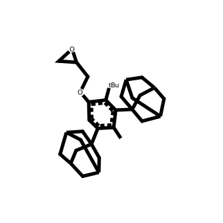 Cc1c(C23CC4CC(CC(C4)C2)C3)cc(OCC2CO2)c(C(C)(C)C)c1C12CC3CC(CC(C3)C1)C2